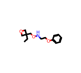 CCC1(CONCCOc2ccccc2)COC1